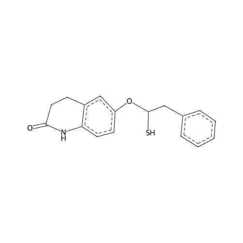 O=C1CCc2cc(OC(S)Cc3ccccc3)ccc2N1